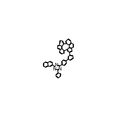 c1ccc(-c2nc(-c3ccc(-c4cccc(-c5cc6ccc7cccc8c9cccc%10ccc%11cccc(c(c5)c6c78)c%11c%109)c4)cc3)nc(-c3ccc4ccccc4c3)n2)cc1